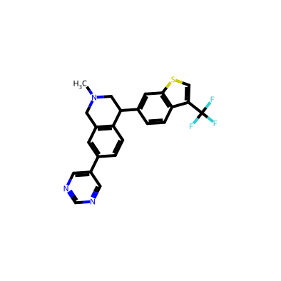 CN1Cc2cc(-c3cncnc3)ccc2C(c2ccc3c(C(F)(F)F)csc3c2)C1